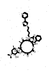 CC[C@H]1OC(=O)[C@H](C)C(=O)[C@H](C)[C@@H](OC2O[C@H](C)C[C@H](N(C)C)[C@H]2O)[C@@](C)(OC)C[C@@H](C)C(=O)[C@H](C)[C@H]2N(CCCCn3cnc(-c4cccnc4)c3)C(=O)O[C@]12Cc1ccccc1